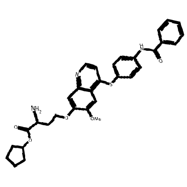 COc1cc2c(Sc3ccc(NC(=O)c4ccccc4)cc3)ccnc2cc1OCCC(N)C(=O)OC1CCCC1